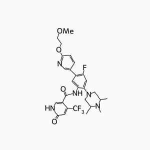 COCCOc1ccc(-c2cc(NC(=O)c3c[nH]c(=O)cc3C(F)(F)F)c(N3CC(C)N(C)C(C)C3)cc2F)cn1